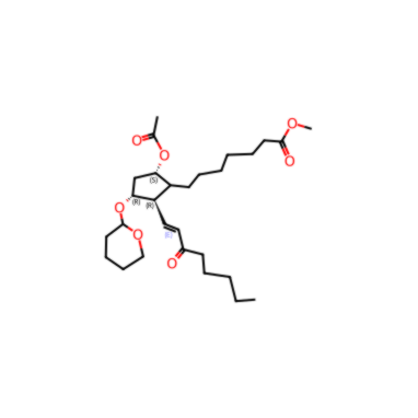 CCCCCC(=O)/C=C/[C@@H]1C(CCCCCCC(=O)OC)[C@@H](OC(C)=O)C[C@H]1OC1CCCCO1